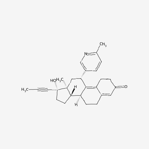 CC#C[C@]1(O)CC[C@H]2[C@@H]3CCC4=CC(=O)CCC4=C3[C@@H](c3ccc(C)nc3)C[C@@]21C